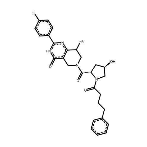 CCCCC1CN(C(=O)[C@@H]2C[C@@H](O)CN2C(=O)CCCc2ccccc2)Cc2c1nc(-c1ccc(Cl)cc1)[nH]c2=O